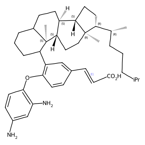 CC(C)CCC[C@@H](C)[C@H]1CC[C@H]2[C@@H]3CCC4CCCC(c5cc(/C=C/C(=O)O)ccc5Oc5ccc(N)cc5N)[C@]4(C)[C@H]3CC[C@]12C